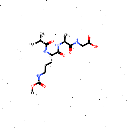 COC(=O)NCCC[C@H](NC(=O)C(C)C)C(=O)NC(C)C(=O)NCC(=O)O